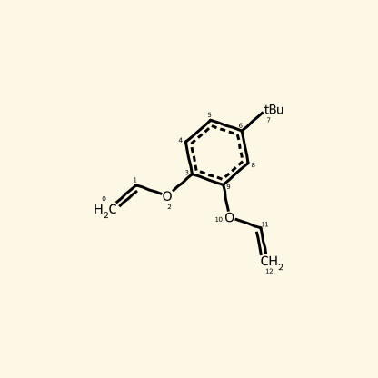 C=COc1ccc(C(C)(C)C)cc1OC=C